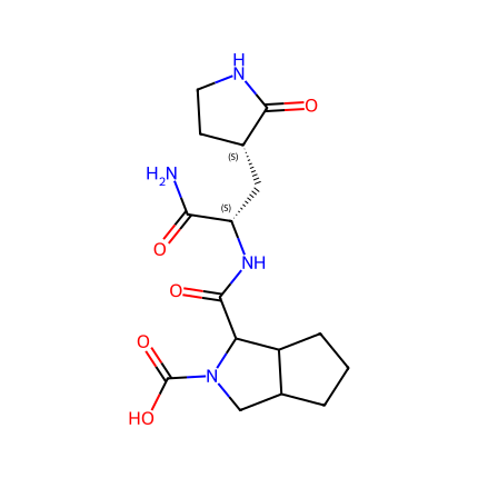 NC(=O)[C@H](C[C@@H]1CCNC1=O)NC(=O)C1C2CCCC2CN1C(=O)O